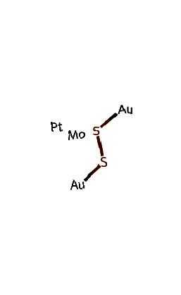 [Au][S][S][Au].[Mo].[Pt]